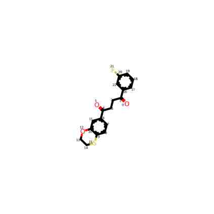 O=C(CCC(=O)c1ccc2c(c1)OCCS2)c1cccc(F)c1